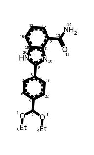 CCOC(OCC)c1ccc(-c2nc3c(C(N)=O)cccc3[nH]2)cc1